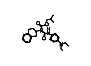 CCN(CC)c1ccc(NC(=O)N(C(=O)OCC(C)C)C2CCc3ccccc3C2)cc1